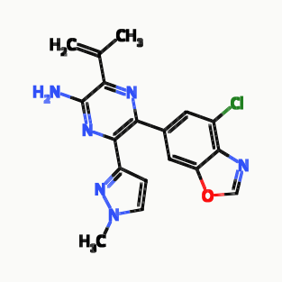 C=C(C)c1nc(-c2cc(Cl)c3ncoc3c2)c(-c2ccn(C)n2)nc1N